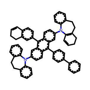 C1=CC2=C(CC1)CCc1ccccc1N2c1ccc2c(-c3ccc4c(c3)CCC=C4)c3cc(N4c5ccccc5CCc5ccccc54)ccc3c(-c3ccc(-c4ccccc4)cc3)c2c1